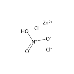 O=[N+]([O-])O.[Cl-].[Cl-].[Zn+2]